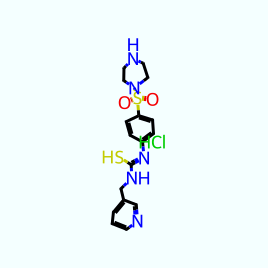 Cl.O=S(=O)(c1ccc(N=C(S)NCc2cccnc2)cc1)N1CCNCC1